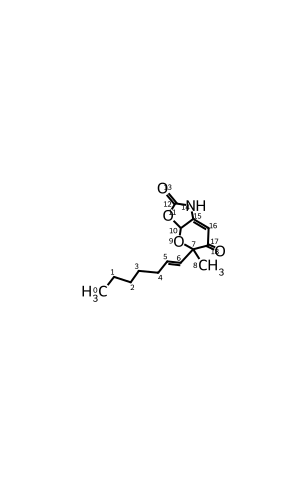 CCCCCC=CC1(C)OC2OC(=O)NC2=CC1=O